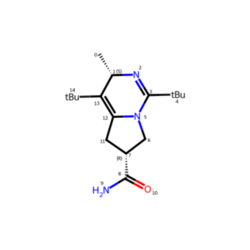 C[C@@H]1N=C(C(C)(C)C)N2C[C@H](C(N)=O)CC2=C1C(C)(C)C